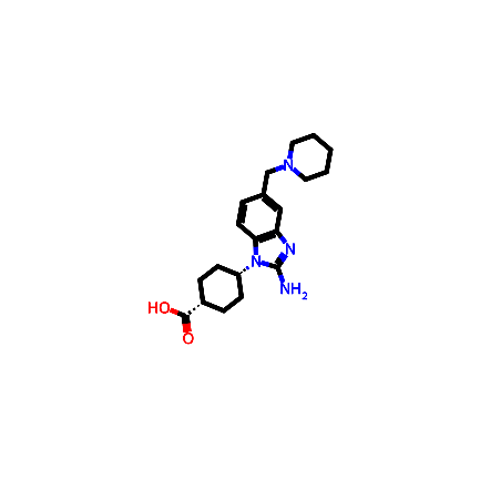 Nc1nc2cc(CN3CCCCC3)ccc2n1[C@H]1CC[C@@H](C(=O)O)CC1